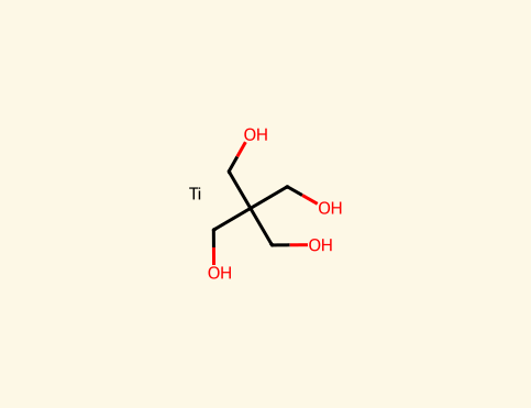 OCC(CO)(CO)CO.[Ti]